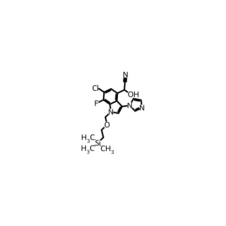 C[Si](C)(C)CCOCn1cc(-n2ccnc2)c2c(C(O)C#N)cc(Cl)c(F)c21